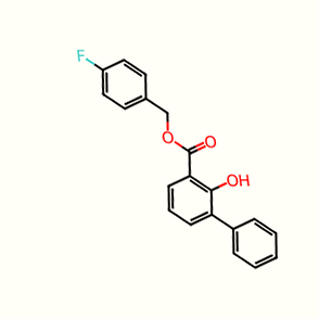 O=C(OCc1ccc(F)cc1)c1cccc(-c2ccccc2)c1O